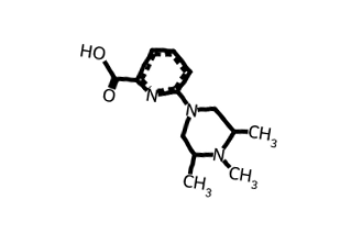 CC1CN(c2cccc(C(=O)O)n2)CC(C)N1C